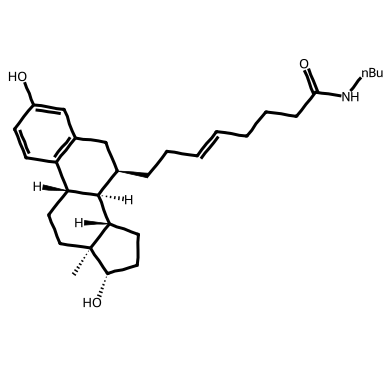 CCCCNC(=O)CCC/C=C/CC[C@@H]1Cc2cc(O)ccc2[C@H]2CC[C@]3(C)[C@@H](O)CC[C@H]3[C@H]12